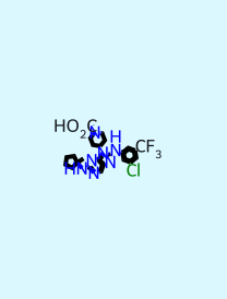 CC1(Nc2ncc3nc(Nc4cc(Cl)cc(C(F)(F)F)c4)n(C4CCN(C(=O)O)CC4)c3n2)CCCC1